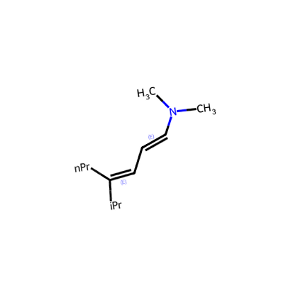 CCC/C(=C\C=C\N(C)C)C(C)C